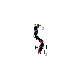 CC(C)(c1ccc(Oc2ccc(/N=N/c3ccc(N)cc3)cc2)cc1)c1ccc(Oc2ccc(NNc3ccc(N)cc3)cc2)cc1